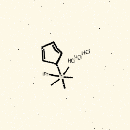 C[CH](C)[Ti]([CH3])([CH3])([CH3])([CH3])[CH]1C=CC=C1.Cl.Cl.Cl